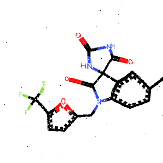 Cc1ccc2c(c1)C1(NC(=O)NC1=O)C(=O)N2Cc1ccc(C(F)(F)F)o1